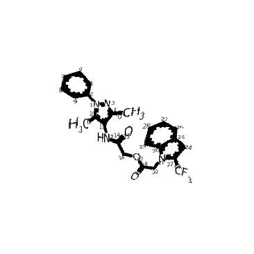 Cc1nn(-c2ccccc2)c(C)c1NC(=O)COC(=O)Cn1c(C(F)(F)F)cc2ccccc21